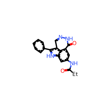 CCC(=O)Nc1cc2c3c(c(-c4ccccc4)[nH]c3c1)C=NNC2=O